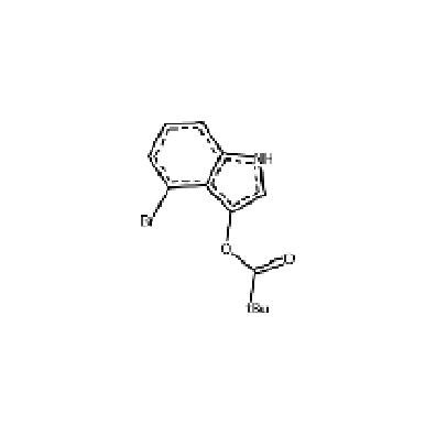 CC(C)(C)C(=O)Oc1c[nH]c2cccc(Br)c12